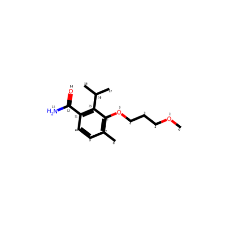 COCCCOc1c(C)ccc(C(N)=O)c1C(C)C